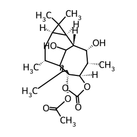 CC(=O)O[C@H]1C(C)=C[C@]23C(O)[C@@H]([C@H](O)[C@H](C)[C@H]4OC(=O)O[C@@]412)[C@H]1[C@@H](C[C@H]3C)C1(C)C